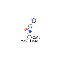 COc1cc(CNC(=O)c2ccc(-c3ccccn3)cc2)cc(OC)c1OC